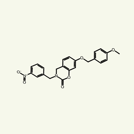 COc1ccc(COc2ccc3c(c2)OC(=O)N(Cc2cccc([N+](=O)[O-])c2)C3)cc1